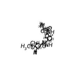 CC(C)Oc1ccc(C2=NC(c3cccc4c3CC[C@@H]4NS(=O)(=O)CC(=O)N3CCC3)NO2)cc1C#N